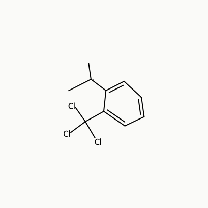 C[C](C)c1ccccc1C(Cl)(Cl)Cl